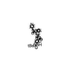 Cc1c(NC(=O)OC(C)(C)C)ccc2nc(N(C)CC(C(=O)NCc3ccncc3)c3ccccc3)oc(=O)c12